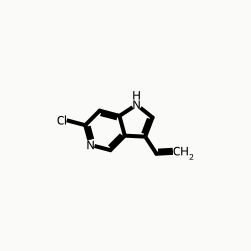 C=Cc1c[nH]c2cc(Cl)ncc12